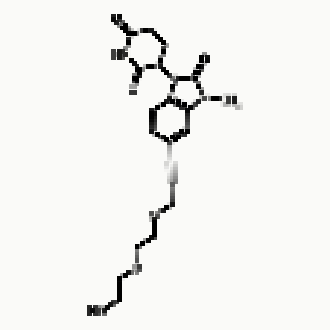 Cn1c(=O)n(C2CCC(=O)NC2=O)c2ccc(C#CCOCCOCCO)cc21